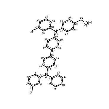 Cc1cccc(N(c2ccccc2)c2ccc(-c3ccc(N(c4ccc(CO)cc4)c4cccc(C)c4)cc3)cc2)c1